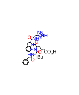 CC[C@H](C)[C@H](NC(=O)Cc1ccccc1)C(=O)NC(CCCC(=O)O)C(=O)N1c2ccccc2C[C@H]1C(=O)NCc1nn[nH]n1